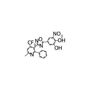 Cc1cc(C(F)(F)F)c(-c2noc(-c3cc(O)c(O)c([N+](=O)[O-])c3)n2)c(-c2ccccc2)n1